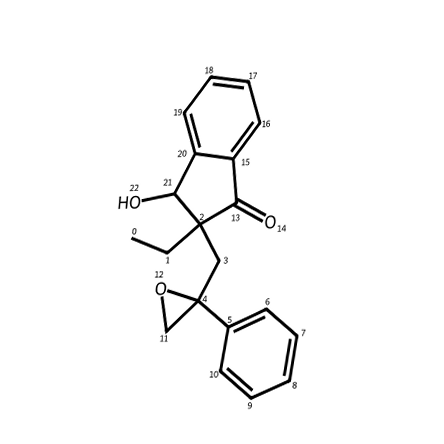 CCC1(CC2(c3ccccc3)CO2)C(=O)c2ccccc2C1O